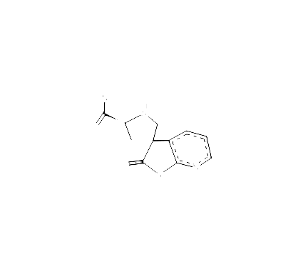 NC(=O)[C@@H]1C[C@@]2(CN1)C(=O)Nc1ncccc12